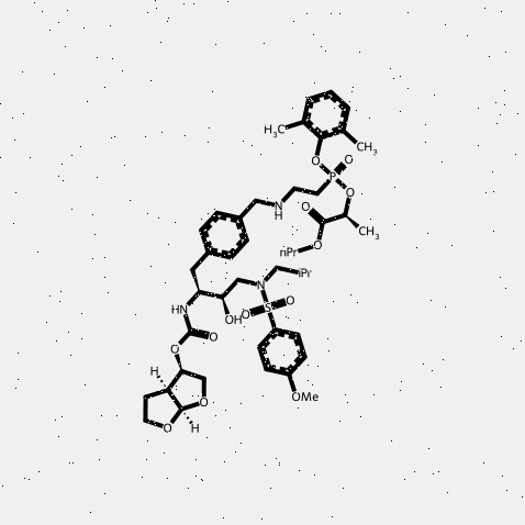 CCCOC(=O)[C@H](C)OP(=O)(CCNCc1ccc(C[C@H](NC(=O)O[C@H]2CO[C@H]3OCC[C@H]32)[C@H](O)CN(CC(C)C)S(=O)(=O)c2ccc(OC)cc2)cc1)Oc1c(C)cccc1C